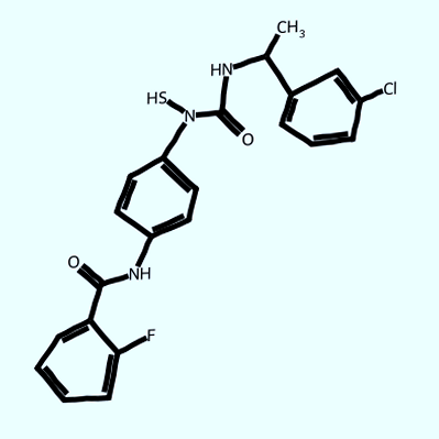 CC(NC(=O)N(S)c1ccc(NC(=O)c2ccccc2F)cc1)c1cccc(Cl)c1